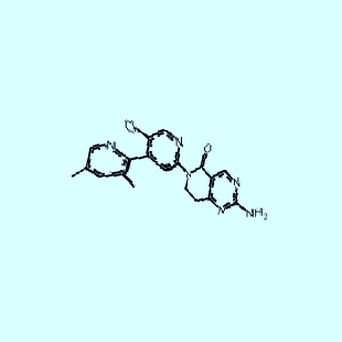 Cc1cnc(-c2cc(N3CCc4nc(N)ncc4C3=O)ncc2Cl)c(C)c1